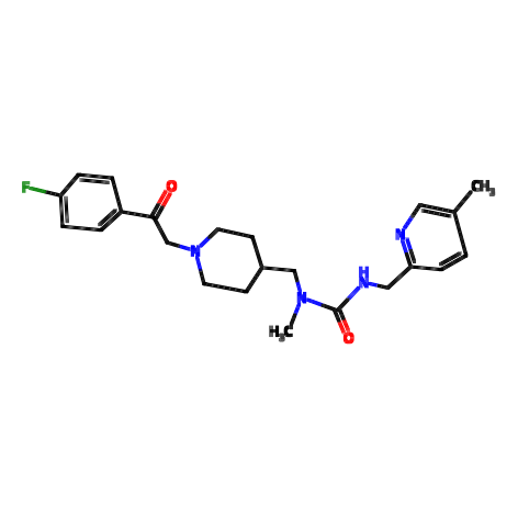 Cc1ccc(CNC(=O)N(C)CC2CCN(CC(=O)c3ccc(F)cc3)CC2)nc1